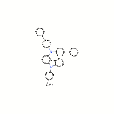 COc1ccc(-n2c3ccccc3c3c(N(c4ccc(-c5ccccc5)cc4)c4ccc(-c5ccccc5)cc4)cccc32)cc1